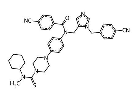 CN(C(=S)N1CCN(c2ccc(N(Cc3cncn3Cc3ccc(C#N)cc3)C(=O)c3ccc(C#N)cc3)cc2)CC1)C1CCCCC1